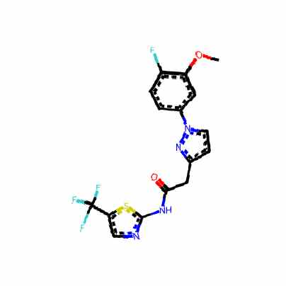 COc1cc(-n2ccc(CC(=O)Nc3ncc(C(F)(F)F)s3)n2)ccc1F